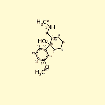 CNC[C@H]1CCCCC1(O)c1cccc(OC)c1